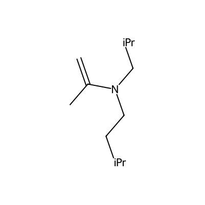 C=C(C)N(CCC(C)C)CC(C)C